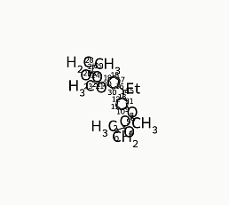 C=C(C)C(=O)OC(C)Oc1cccc(C(CC)c2cccc(OC(C)OC(=O)C(=C)C)c2)c1